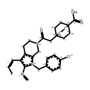 C=Nc1c(/C=C\C)c2c(n1Cc1ccc(Cl)cc1)CN(C(=O)CC13CCC(C(=O)O)(CC1)CC3)CC2